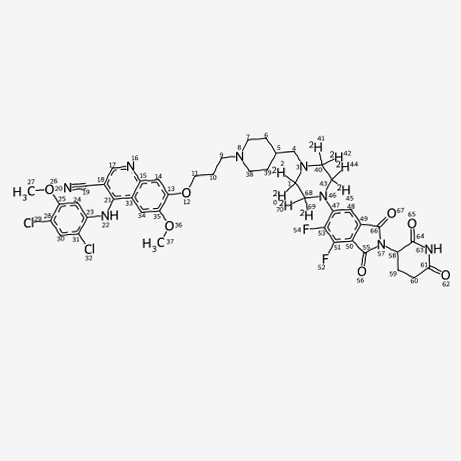 [2H]C1([2H])N(CC2CCN(CCCOc3cc4ncc(C#N)c(Nc5cc(OC)c(Cl)cc5Cl)c4cc3OC)CC2)C([2H])([2H])C([2H])([2H])N(c2cc3c(c(F)c2F)C(=O)N(C2CCC(=O)NC2=O)C3=O)C1([2H])[2H]